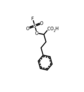 O=C(O)C(CCc1ccccc1)OS(=O)(=O)F